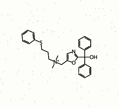 C[N+](C)(CCCSc1ccccc1)Cc1cnc(C(O)(c2ccccc2)c2ccccc2)o1